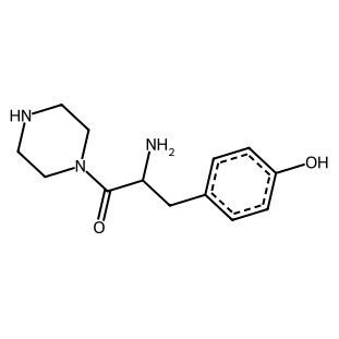 NC(Cc1ccc(O)cc1)C(=O)N1CCNCC1